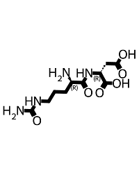 NC(=O)NCCC[C@@H](N)C(=O)N[C@H](CC(=O)O)C(=O)O